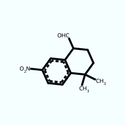 CC1(C)CCC(C=O)c2cc([N+](=O)[O-])ccc21